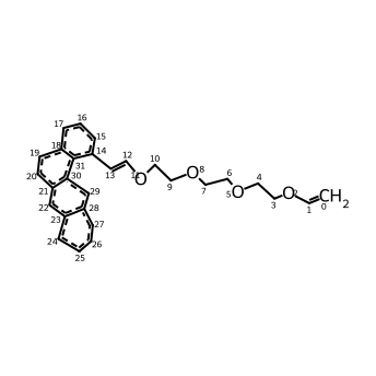 C=COCCOCCOCCOC=Cc1cccc2ccc3cc4ccccc4cc3c12